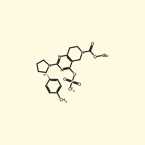 Cc1ccc([C@@H]2CCCN2c2nc3c(c(OS(=O)(=O)C(F)(F)F)n2)CN(C(=O)OC(C)(C)C)CC3)cc1